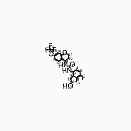 O=C(Nc1ccc(F)c2c1C[C@@H](O)C2)N[C@@H]1CCOc2cc(OC(F)(F)F)ccc21